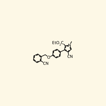 CCOC(=O)c1c(-c2ccc(OCc3ccccc3C#N)cc2)c(C#N)cn1C